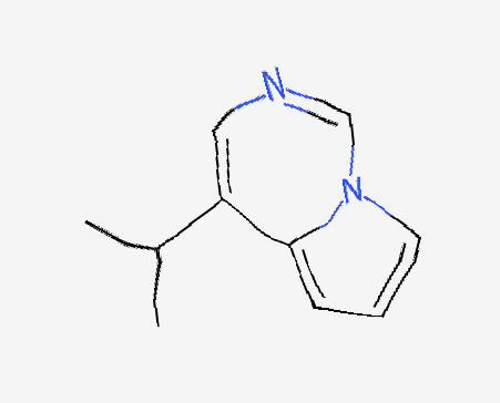 CC(C)c1cncn2cccc12